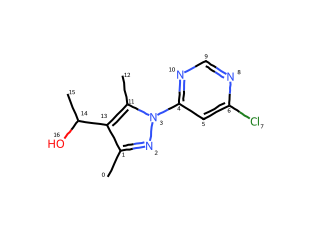 Cc1nn(-c2cc(Cl)ncn2)c(C)c1C(C)O